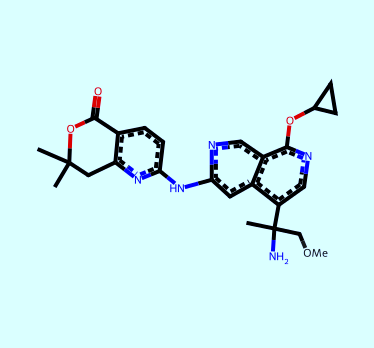 COCC(C)(N)c1cnc(OC2CC2)c2cnc(Nc3ccc4c(n3)CC(C)(C)OC4=O)cc12